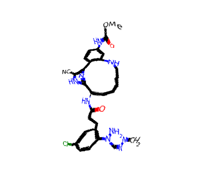 C=N/N=C\N(N)c1ccc(Cl)cc1/C=C/C(=O)N[C@H]1CCCCCNc2cc(NC(=O)OC)ccc2-c2nc1[nH]c2C#N